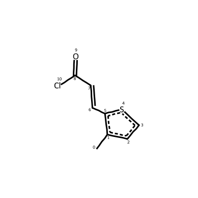 Cc1ccsc1C=CC(=O)Cl